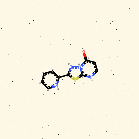 O=c1ccnc2sc(-c3ccccn3)nn12